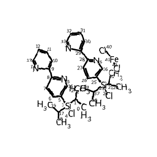 CC(C)[Si](Cl)(c1ccc(-c2ccccn2)nc1)C(C)C.CC(C)[Si](Cl)(c1ccc(-c2ccccn2)nc1)C(C)C.[Cl][Fe][Cl]